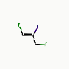 FC=C(I)CF